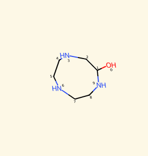 OC1CNCCNCCN1